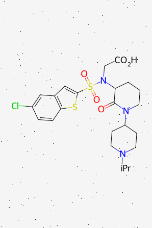 CC(C)N1CCC(N2CCCC(N(CC(=O)O)S(=O)(=O)c3cc4cc(Cl)ccc4s3)C2=O)CC1